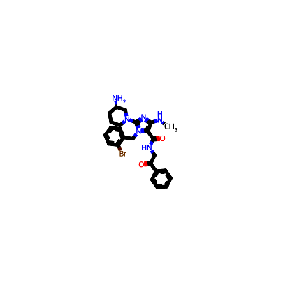 CNc1nc(N2CCC[C@@H](N)C2)n(Cc2ccccc2Br)c1C(=O)NCC(=O)c1ccccc1